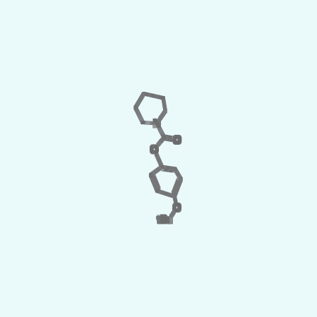 CC(C)(C)Oc1ccc(OC(=O)N2CCCCC2)cc1